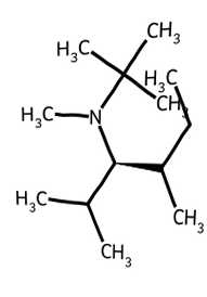 CCC(C)[C@@H](C(C)C)N(C)C(C)(C)C